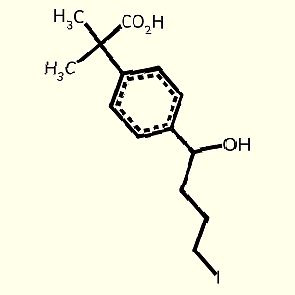 CC(C)(C(=O)O)c1ccc(C(O)CCCI)cc1